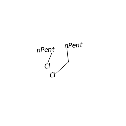 CCCCCCCl.CCCCCCl